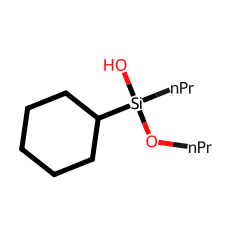 CCCO[Si](O)(CCC)C1CCCCC1